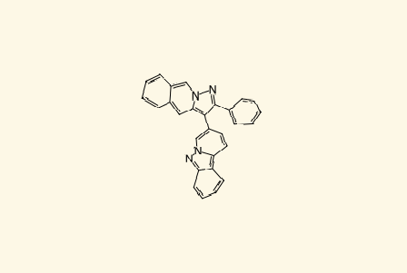 c1ccc(-c2nn3cc4ccccc4cc3c2-c2ccc3c4ccccc4nn3c2)cc1